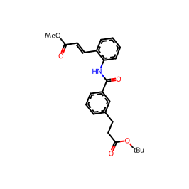 COC(=O)C=Cc1ccccc1NC(=O)c1cccc(CCC(=O)OC(C)(C)C)c1